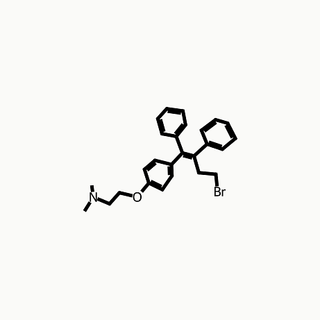 CN(C)CCOc1ccc(/C(=C(\CCBr)c2ccccc2)c2ccccc2)cc1